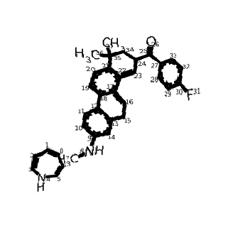 C1=CC=CNC=C1.CNc1ccc2c(c1)CC=c1c-2ccc2c1=CC(C(=O)c1ccc(F)cc1)CC2(C)C